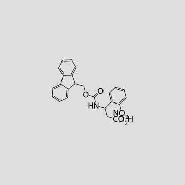 O=C(O)CC(NC(=O)OCC1c2ccccc2-c2ccccc21)c1ccccc1[N+](=O)[O-]